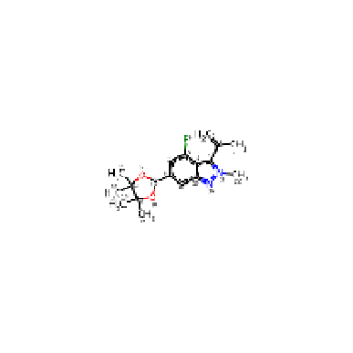 C=C(C)c1c2c(F)cc(B3OC(C)(C)C(C)(C)O3)cc2nn1C